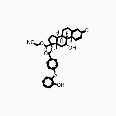 C[C@]12C=CC(=O)C=C1CC[C@H]1[C@@H]3CC[C@@](OC(=O)c4ccc(Sc5ccccc5O)cc4)(C(=O)OCC#N)[C@@]3(C)C[C@H](O)C12F